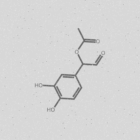 CC(=O)OC(C=O)c1ccc(O)c(O)c1